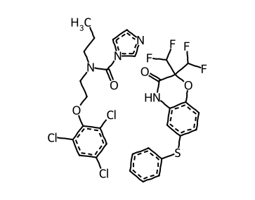 CCCN(CCOc1c(Cl)cc(Cl)cc1Cl)C(=O)n1ccnc1.O=C1Nc2cc(Sc3ccccc3)ccc2OC1(C(F)F)C(F)F